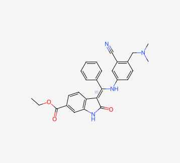 CCOC(=O)c1ccc2c(c1)NC(=O)/C2=C(\Nc1ccc(CN(C)C)c(C#N)c1)c1ccccc1